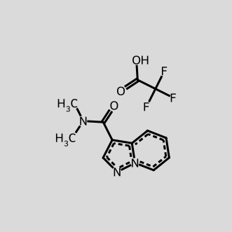 CN(C)C(=O)c1cnn2ccccc12.O=C(O)C(F)(F)F